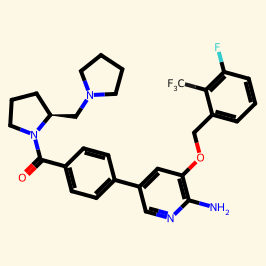 Nc1ncc(-c2ccc(C(=O)N3CCC[C@H]3CN3CCCC3)cc2)cc1OCc1cccc(F)c1C(F)(F)F